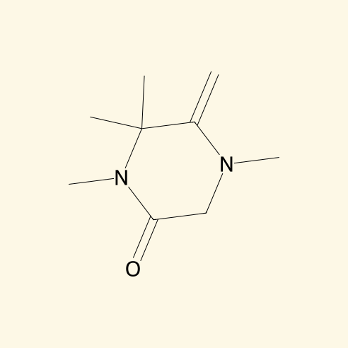 C=C1N(C)CC(=O)N(C)C1(C)C